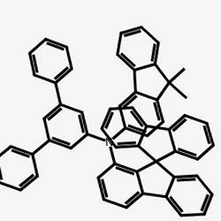 CC1(C)c2ccccc2-c2cc(N(c3cc(-c4ccccc4)cc(-c4ccccc4)c3)c3cccc4c3C3(c5ccccc5-c5ccccc53)c3ccccc3-4)ccc21